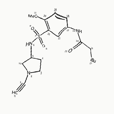 C#CN1CCC(NS(=O)(=O)c2cc(NC(=O)CC(C)CC)ccc2OC)C1